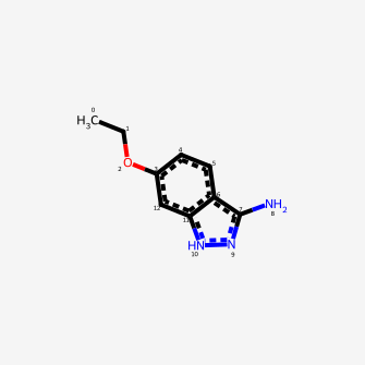 CCOc1ccc2c(N)n[nH]c2c1